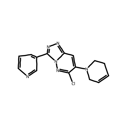 Clc1nn2c(-c3cccnc3)nnc2cc1N1CC=CCC1